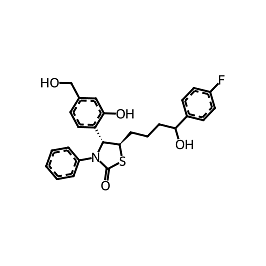 O=C1S[C@H](CCCC(O)c2ccc(F)cc2)[C@@H](c2ccc(CO)cc2O)N1c1ccccc1